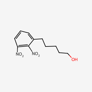 O=[N+]([O-])c1cccc(CCCCCO)c1[N+](=O)[O-]